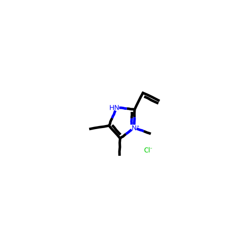 C=Cc1[nH]c(C)c(C)[n+]1C.[Cl-]